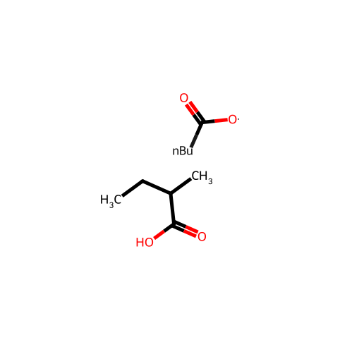 CCC(C)C(=O)O.CCCCC([O])=O